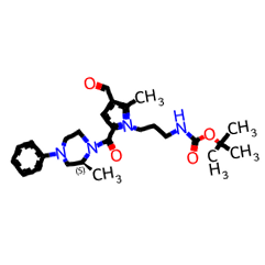 Cc1c(C=O)cc(C(=O)N2CCN(c3ccccc3)C[C@@H]2C)n1CCCNC(=O)OC(C)(C)C